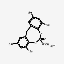 CC(C)(C)c1cc2c(c(C(C)(C)C)c1)OP(=O)([O-])Oc1c(cc(C(C)(C)C)cc1C(C)(C)C)C2.[Al+2].[OH-]